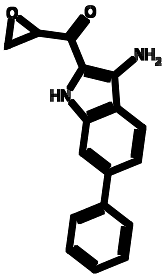 Nc1c(C(=O)C2CO2)[nH]c2cc(-c3ccccc3)ccc12